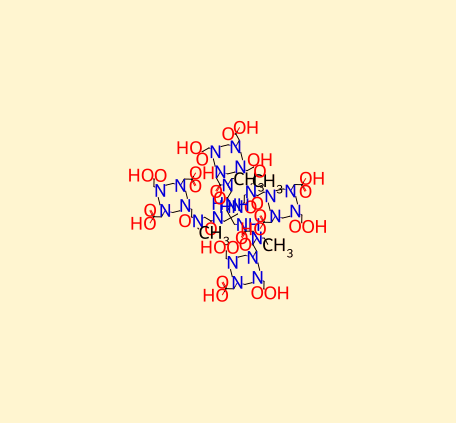 CCN(CC(=O)NCC(CNC(=O)CN(CC)C(=O)CN1CCN(CC(=O)O)CCN(CC(=O)O)CCN(CC(=O)O)CC1)(CNC(=O)CN(CC)C(=O)CN1CCN(CC(=O)O)CCN(CC(=O)O)CCN(CC(=O)O)CC1)CNC(=O)CN(CC)C(=O)CN1CCN(CC(=O)O)CCN(CC(=O)O)CCN(CC(=O)O)CC1)C(=O)CN1CCN(CC(=O)O)CCN(CC(=O)O)CCN(CC(=O)O)CC1